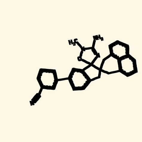 CN1OC2(N=C1N)c1cc(-c3cccc(C#N)c3)ccc1CC21Cc2cccc3cccc(c23)C1